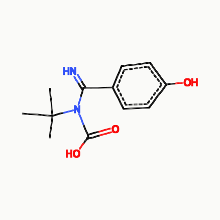 CC(C)(C)N(C(=N)c1ccc(O)cc1)C(=O)O